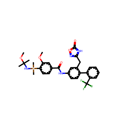 COc1cc(C(=O)Nc2ccc(-c3ccccc3C(F)(F)F)c(Cc3noc(=O)[nH]3)c2)ccc1S(C)(C)NC(C)(C)OC